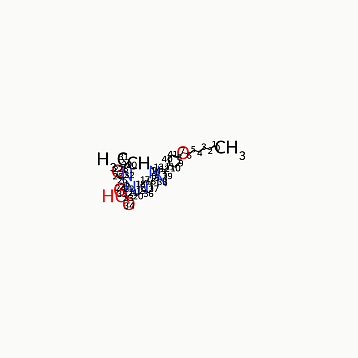 CCCCCCCOc1ccc(-c2cnc(-c3ccc(C[C@H](NC(=O)c4coc(C(C)C)n4)C(=O)O)cc3)nc2)cc1